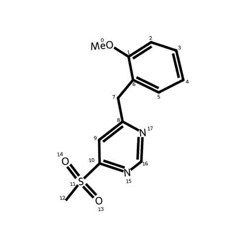 COc1ccccc1Cc1cc(S(C)(=O)=O)ncn1